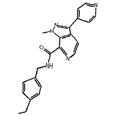 CCc1ccc(CNC(=O)c2nccc3c(-c4ccncc4)nn(C)c23)cc1